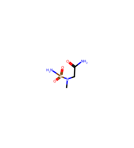 CN(CC(N)=O)S(N)(=O)=O